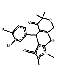 Cn1c2c(c(=O)n1C)C(c1ccc(F)c(Br)c1)C1=C(COC(C)(C)C1=O)N2